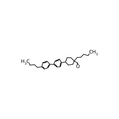 CCCCCC1(C=O)CCC(c2ccc(-c3ccc(CCCC)cc3)cc2)CC1